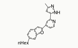 CCCCCCc1ccc2cc(-c3ccnc(-c4cc(C)n[nH]4)c3)oc2c1